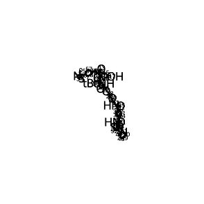 Cc1ncsc1-c1ccc(CNC(=O)[C@@H]2C[C@@H](O)CN2C(=O)[C@@H](NC(=O)COCCOCCNC(=O)c2ccc(C(=O)Nc3nc(-c4ccccn4)cs3)cc2)C(C)(C)C)cc1